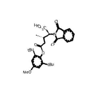 COc1cc(C(C)(C)C)c(OC(=O)C[C@H](C)[C@@H](C(=O)O)N2C(=O)c3ccccc3C2=O)c(C(C)(C)C)c1